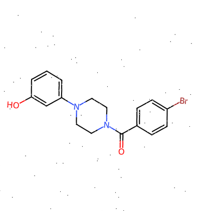 O=C(c1ccc(Br)cc1)N1CCN(c2cccc(O)c2)CC1